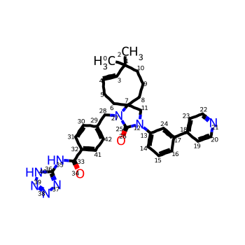 CC1(C)/C=C/CCC2(CCC1)CN(c1cccc(-c3ccncc3)c1)C(=O)N2Cc1ccc(C(=O)Nc2nnn[nH]2)cc1